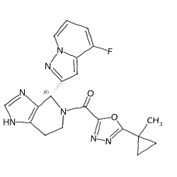 CC1(c2nnc(C(=O)N3CCc4[nH]cnc4[C@@H]3c3cc4c(F)cccn4n3)o2)CC1